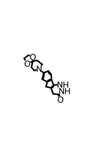 O=C1CC2=C(NN1)c1ccc(N3CCC4(CC3)OCCO4)cc1C2